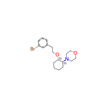 Brc1cccc(CCO[C@H]2CCCC[C@@H]2N2CCOCC2)c1